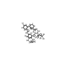 CO[C@@H]1CN(c2cccc(-c3cc(C)ccc3OCc3ccc4c(c3C)CCNC4)n2)CC[C@@H]1C(=O)OC(C)(C)C